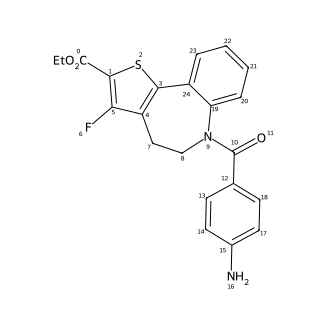 CCOC(=O)c1sc2c(c1F)CCN(C(=O)c1ccc(N)cc1)c1ccccc1-2